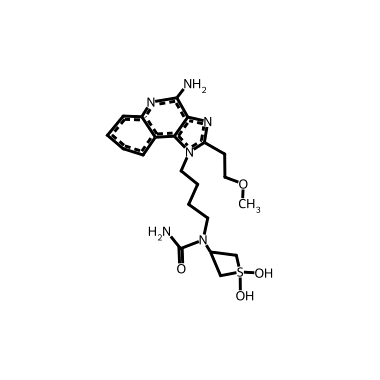 COCCc1nc2c(N)nc3ccccc3c2n1CCCCN(C(N)=O)C1CS(O)(O)C1